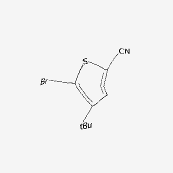 CC(C)(C)c1cc(C#N)sc1Br